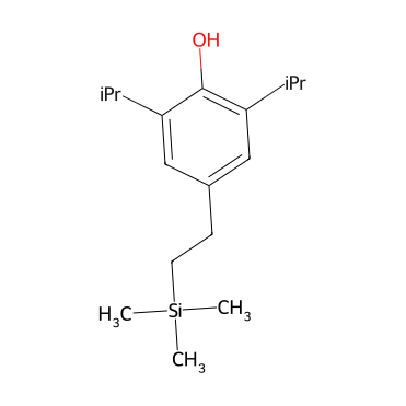 CC(C)c1cc(CC[Si](C)(C)C)cc(C(C)C)c1O